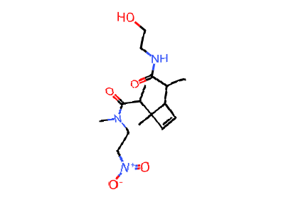 CC(C(=O)NCCO)C1C=CC1(C)C(C)C(=O)N(C)CC[N+](=O)[O-]